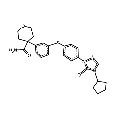 NC(=O)C1(c2cccc(Sc3ccc(-n4ncn(C5CCCC5)c4=O)cc3)c2)CCOCC1